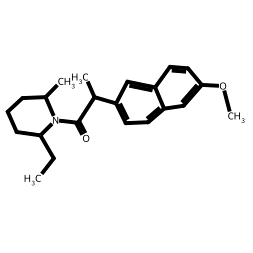 CCC1CCCC(C)N1C(=O)C(C)c1ccc2cc(OC)ccc2c1